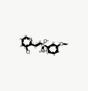 COc1cccc(S(=N)(=O)/C=C/c2ncccc2Cl)c1